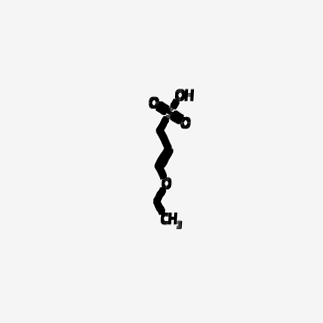 CCOC=CCS(=O)(=O)O